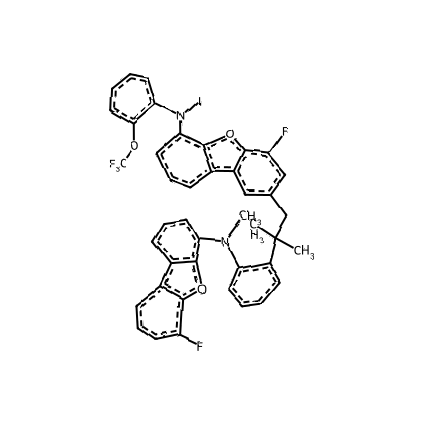 CN(c1ccccc1C(C)(C)Cc1cc(F)c2oc3c(N(I)c4ccccc4OC(F)(F)F)cccc3c2c1)c1cccc2c1oc1c(F)cccc12